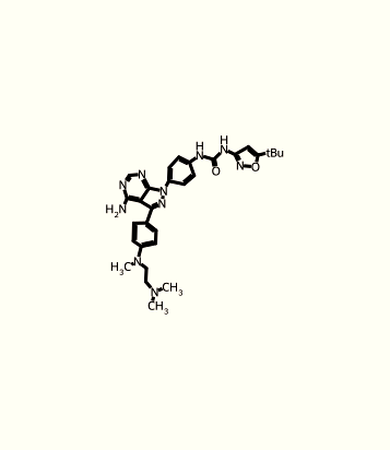 CN(C)CCN(C)c1ccc(-c2nn(-c3ccc(NC(=O)Nc4cc(C(C)(C)C)on4)cc3)c3ncnc(N)c23)cc1